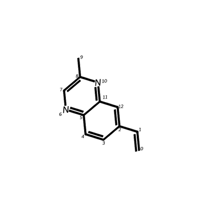 C=Cc1ccc2ncc(C)nc2c1